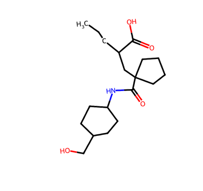 CCCC(CC1(C(=O)NC2CCC(CO)CC2)CCCC1)C(=O)O